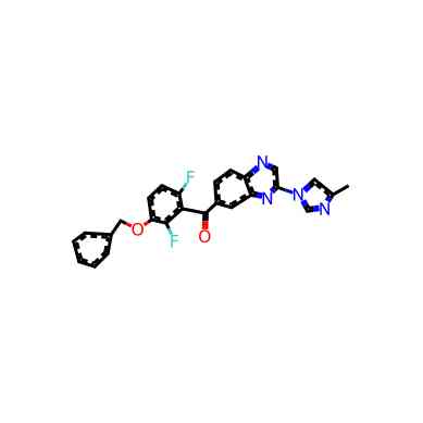 Cc1cn(-c2cnc3ccc(C(=O)c4c(F)ccc(OCc5ccccc5)c4F)cc3n2)cn1